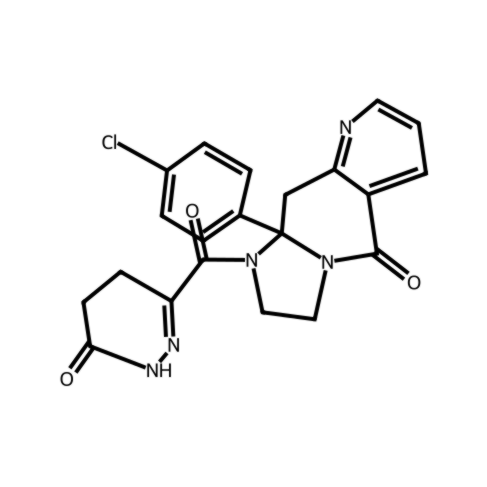 O=C1CCC(C(=O)N2CCN3C(=O)c4cccnc4CC23c2ccc(Cl)cc2)=NN1